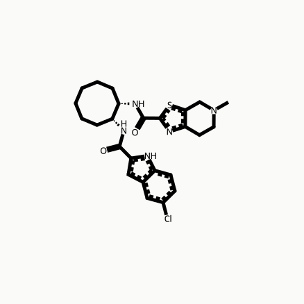 CN1CCc2nc(C(=O)N[C@H]3CCCCCC[C@H]3NC(=O)c3cc4cc(Cl)ccc4[nH]3)sc2C1